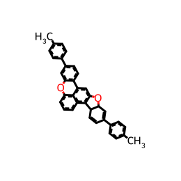 Cc1ccc(C2=CC3Oc4cc5c6c(cccc6c4C3C=C2)Oc2cc(-c3ccc(C)cc3)ccc2-5)cc1